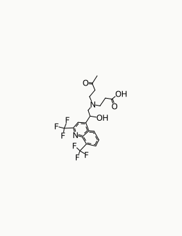 CC(=O)CCN(CCC(=O)O)CC(O)c1cc(C(F)(F)F)nc2c(C(F)(F)F)cccc12